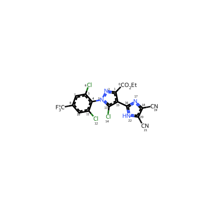 CCOC(=O)c1nn(-c2c(Cl)cc(C(F)(F)F)cc2Cl)c(Cl)c1-c1nc(C#N)c(C#N)[nH]1